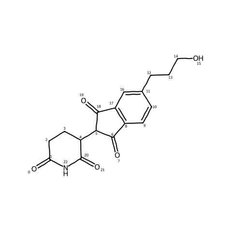 O=C1CCC(C2C(=O)c3ccc(CCCO)cc3C2=O)C(=O)N1